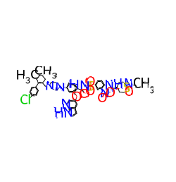 CCN=S1(=O)CCC(CNc2ccc(S(=O)(=O)NC(=O)c3ccc(N4CCN(CC5=C(c6ccc(Cl)cc6)CC(C)(C)CC5)CC4)cc3Oc3cnc4[nH]ccc4c3)cc2[N+](=O)[O-])CC1